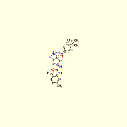 Cc1ccc(C)c(NC(=O)NN2Cc3n[nH]c(NC(=O)c4ccc(C(C)(C)C)cc4)c3C2)c1